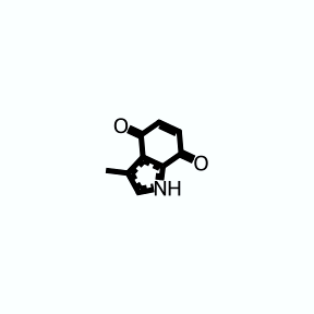 Cc1c[nH]c2c1C(=O)C=CC2=O